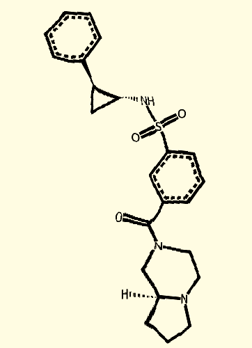 O=C(c1cccc(S(=O)(=O)N[C@@H]2C[C@H]2c2ccccc2)c1)N1CCN2CCC[C@H]2C1